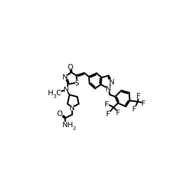 CN(C1=NC(=O)/C(=C/c2ccc3c(cnn3Cc3ccc(C(F)(F)F)cc3C(F)(F)F)c2)S1)C1CCN(CC(N)=O)C1